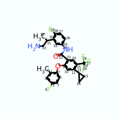 Cc1cc(F)ccc1Oc1cc(C2CC2)c(C(F)(F)F)cc1C(=O)Nc1ccc(F)c(C(C)CN)c1